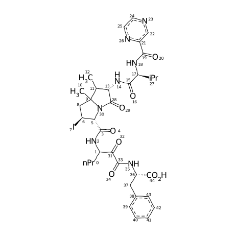 CCCC(NC(=O)[C@@H]1[C@@H](I)CC2(C)C(C)[C@H](NC(=O)[C@@H](NC(=O)c3cnccn3)C(C)C)C(=O)N12)C(=O)C(=O)N[C@@H](Cc1ccccc1)C(=O)O